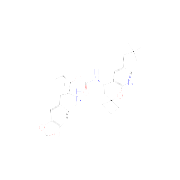 CC[C@@H](OC(=O)NC1CC2(CCC2)Oc2ncc(CC(C)(C)C)cc21)C(Cc1ccc2c(c1)OCO2)NC